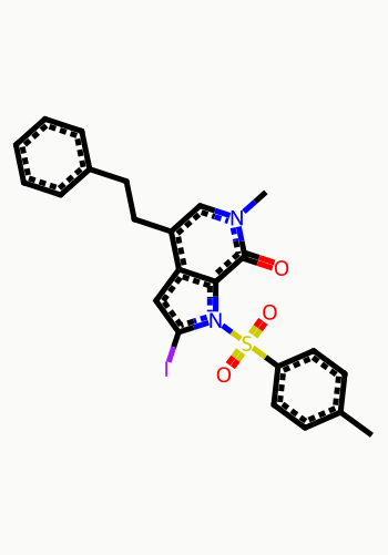 Cc1ccc(S(=O)(=O)n2c(I)cc3c(CCc4ccccc4)cn(C)c(=O)c32)cc1